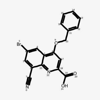 N#Cc1cc(Br)cc2c(OCc3ccccc3)cc(C(=O)O)nc12